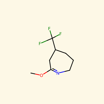 COC1=NCCCC(C(F)(F)F)C1